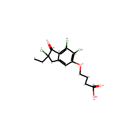 CCC1(Cl)Cc2cc(OCCCC(=O)O)c(Cl)c(Cl)c2C1=O